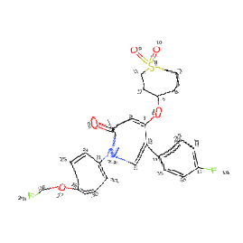 O=c1cc(OC2CCS(=O)(=O)CC2)c(-c2ccc(F)cc2)cn1-c1ccc(OCF)cc1